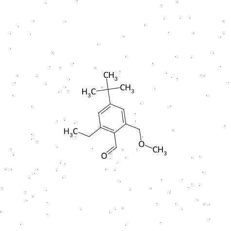 CCc1cc(C(C)(C)C)cc(COC)c1C=O